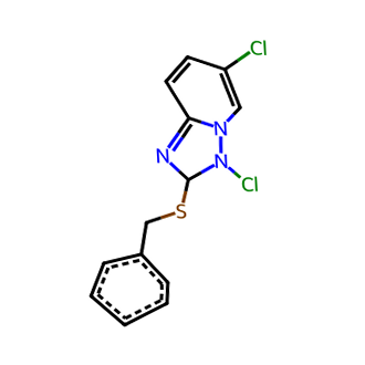 ClC1=CN2C(=NC(SCc3ccccc3)N2Cl)C=C1